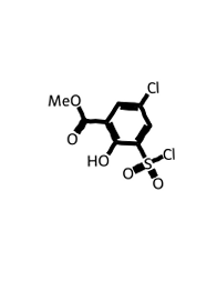 COC(=O)c1cc(Cl)cc(S(=O)(=O)Cl)c1O